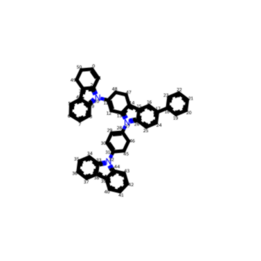 C1=Cc2c(c3ccccc3n2C2=Cc3c(c4cc(-c5ccccc5)ccc4n3C3=CC=C(n4c5ccccc5c5ccccc54)CC3)CC2)CC1